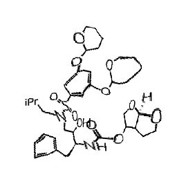 CC(C)CN(C[C@@H](O)[C@H](Cc1ccccc1)NC(=O)OC1CO[C@H]2OCCC12)S(=O)(=O)c1cc(OC2CCCCO2)cc(OC2CCCCO2)c1